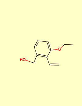 C=Cc1c([CH]O)cccc1OCC